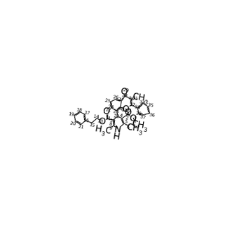 COC(=O)C1=C(C)NC(C)=C(C(=O)OCCc2ccccc2)C1c1cccc2c(=O)c(C)c(-c3ccccc3)oc12